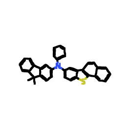 CC1(C)c2ccccc2-c2cc(N(c3ccccc3)c3ccc4sc5c6ccccc6ccc5c4c3)ccc21